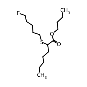 CCCCCC(SCCCCCF)C(=O)OCCCC